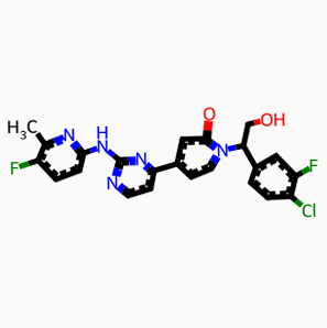 Cc1nc(Nc2nccc(-c3ccn(C(CO)c4ccc(Cl)c(F)c4)c(=O)c3)n2)ccc1F